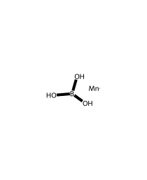 OB(O)O.[Mn]